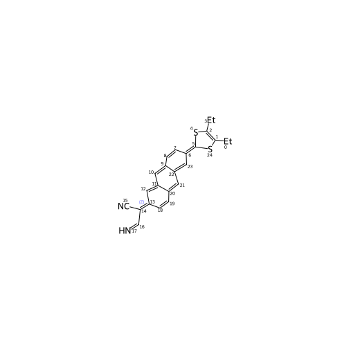 CCC1=C(CC)SC(=c2ccc3cc4c/c(=C(\C#N)C=N)ccc4cc3c2)S1